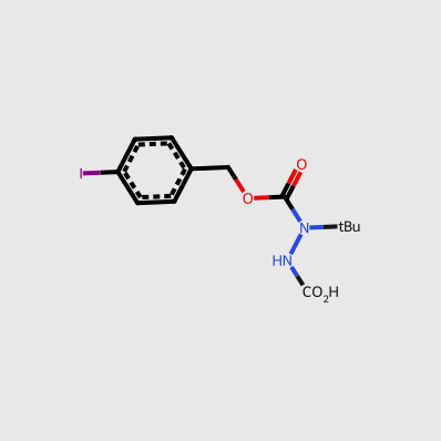 CC(C)(C)N(NC(=O)O)C(=O)OCc1ccc(I)cc1